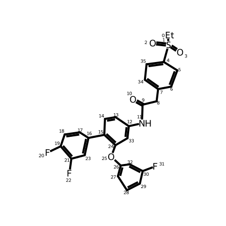 CCS(=O)(=O)c1ccc(CC(=O)Nc2ccc(-c3ccc(F)c(F)c3)c(Oc3cccc(F)c3)c2)cc1